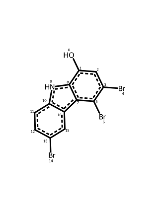 Oc1cc(Br)c(Br)c2c1[nH]c1ccc(Br)cc12